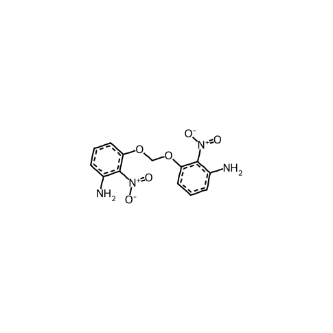 Nc1cccc(OCOc2cccc(N)c2[N+](=O)[O-])c1[N+](=O)[O-]